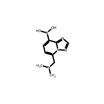 CN(C)Cc1ccc(B(O)O)c2ncnn12